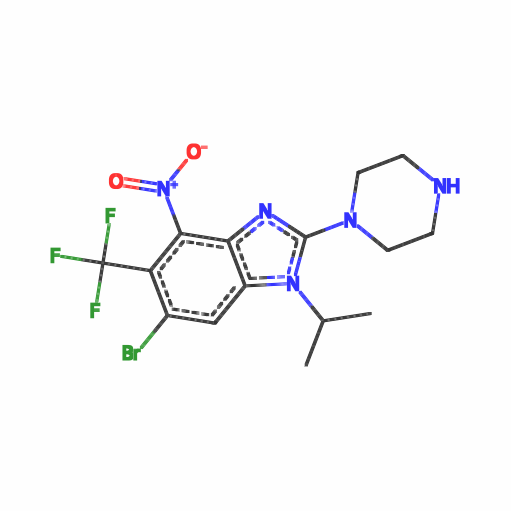 CC(C)n1c(N2CCNCC2)nc2c([N+](=O)[O-])c(C(F)(F)F)c(Br)cc21